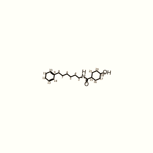 O=C(NCCCCCCC1=CCCC=C1)C1CCC(O)CC1